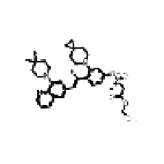 CCOC(=O)CS(=O)(=O)Nc1ccc(/C(F)=C/c2cc(N3CCC(F)(F)CC3)c3ncccc3c2)c(N2CCC3(CC2)CC3)c1